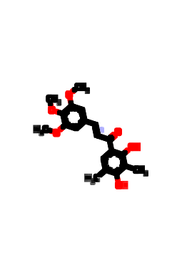 COc1cc(/C=C/C(=O)c2cc(C)c(O)c(C)c2O)cc(OC)c1OC